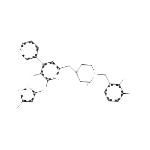 Cc1cc(Nc2nc(C[C@@]3(C(=O)O)CCN(Cc4cccc(Cl)c4F)[C@H](C)C3)cc(-c3cccnc3)c2F)n[nH]1